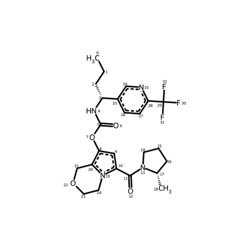 CCC[C@@H](NC(=O)Oc1cc(C(=O)N2CCC[C@@H]2C)n2c1COCC2)c1ccc(C(F)(F)F)nc1